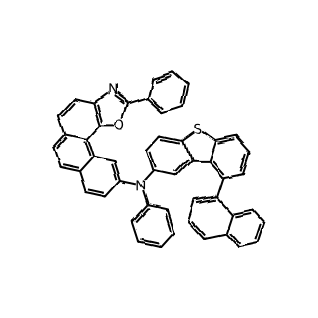 c1ccc(-c2nc3ccc4ccc5ccc(N(c6ccccc6)c6ccc7sc8cccc(-c9cccc%10ccccc9%10)c8c7c6)cc5c4c3o2)cc1